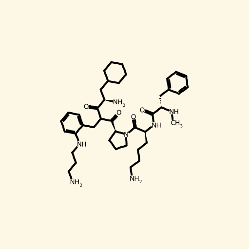 CN[C@@H](Cc1ccccc1)C(=O)N[C@@H](CCCCN)C(=O)N1CCC[C@H]1C(=O)C(Cc1ccccc1NCCCN)C(=O)[C@H](N)CC1CCCCC1